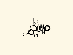 NC(=O)C(N)C(Cc1nc2ccccc2[nH]1)c1ccc(Cl)cc1Cl